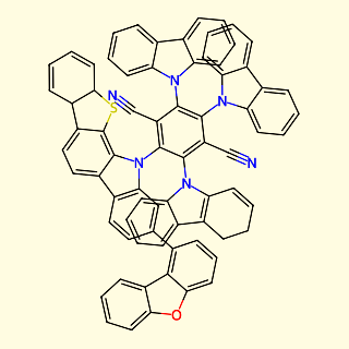 N#Cc1c(-n2c3c(c4ccccc42)CCC=C3)c(-n2c3cc(-c4cccc5oc6ccccc6c45)ccc3c3ccc4c(c32)SC2C=CC=CC42)c(C#N)c(-n2c3ccccc3c3ccccc32)c1-n1c2ccccc2c2ccccc21